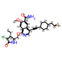 CC[C@@H]1[C@H](F)C(=O)N[C@@H]1COc1ncc(C#CC2CCC(CC=S)CC2)c2cc(C(N)=O)c(OC)cc12